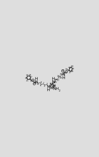 Nc1nc(NCCCCCCNC(=O)OCc2ccccc2)nc(NCCCCCCNC(=O)OCc2ccccc2)n1